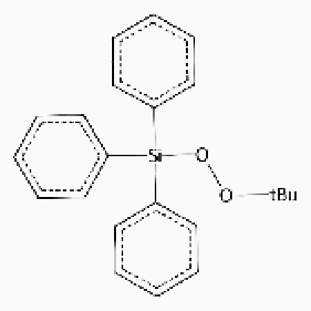 CC(C)(C)OO[Si](c1ccccc1)(c1ccccc1)c1ccccc1